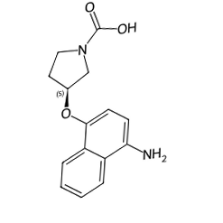 Nc1ccc(O[C@H]2CCN(C(=O)O)C2)c2ccccc12